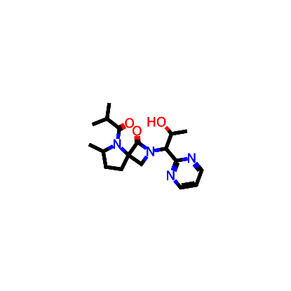 CC(C)C(=O)N1C(C)CCC12CN(C(c1ncccn1)C(C)O)C2=O